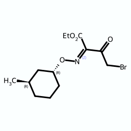 CCOC(=O)/C(=N\O[C@@H]1CCC[C@@H](C)C1)C(=O)CBr